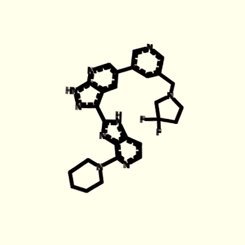 FC1(F)CCN(Cc2cncc(-c3cnc4[nH]nc(-c5nc6c(N7CCCCC7)nccc6[nH]5)c4c3)c2)C1